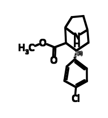 COC(=O)C1C2CCC(C[C@@H]1c1ccc(Cl)cc1)N2